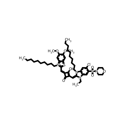 CCCCCCCCCCN1/C(=C\C2=C(O)C(=C\c3sc4cc(OC)c(OC)cc4[n+]3CCCCCCCCCC)/C2=O)N(CC)c2cc(S(=O)(=O)N3CCOCC3)c(Cl)cc21